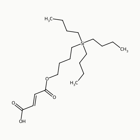 CCCC[Si](CCCC)(CCCC)CCCCOC(=O)C=CC(=O)O